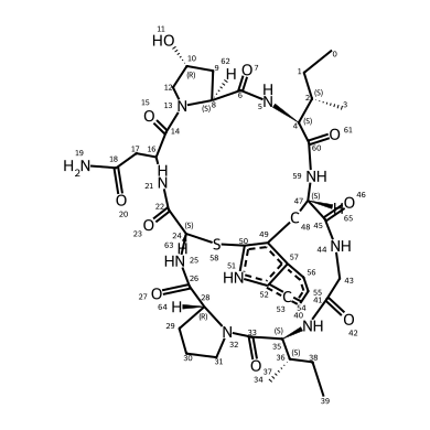 CC[C@H](C)[C@@H]1NC(=O)[C@@H]2C[C@@H](O)CN2C(=O)C(CC(N)=O)NC(=O)[C@H]2NC(=O)[C@H]3CCCN3C(=O)[C@H]([C@@H](C)CC)NC(=O)CNC(=O)[C@H](Cc3c([nH]c4ccccc34)S2)NC1=O